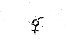 Cl.FC(F)(F)c1cn(CCl)cn1